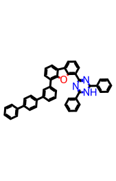 c1ccc(C2=NC(c3cccc4c3oc3c(-c5cccc(-c6ccc(-c7ccccc7)cc6)c5)cccc34)=NC(c3ccccc3)N2)cc1